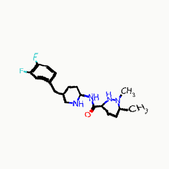 CC1CCC(C(=O)NC2CCC(Cc3ccc(F)c(F)c3)CN2)NN1C